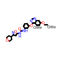 COCCOc1cc2ncnc(Oc3cccc(NC(=O)Nc4cc(C5CCOCC5)no4)c3)c2cc1OC